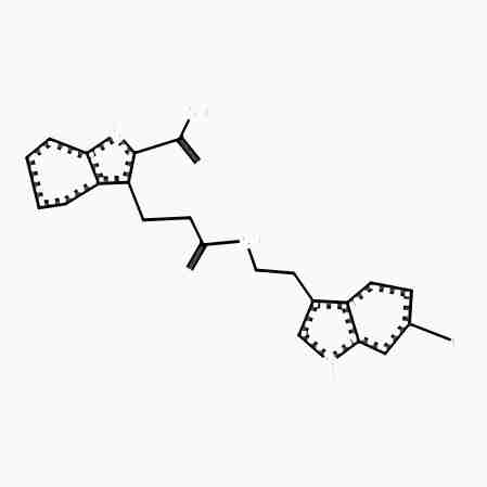 NC(=O)c1[nH]c2ccccc2c1C[CH]C(=O)NCCc1c[nH]c2cc(F)ccc12